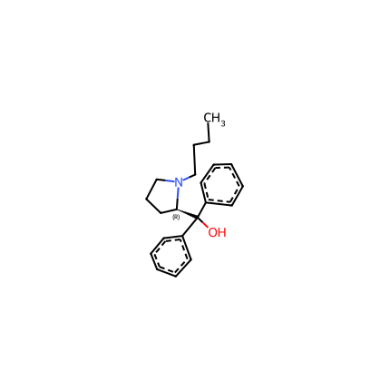 CCCCN1CCC[C@@H]1C(O)(c1ccccc1)c1ccccc1